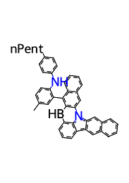 CCCCCc1ccc(Nc2ccc(C)cc2-c2c3c(cc4ccccc24)-n2c4cc5ccccc5cc4c4cccc(c42)B3)cc1